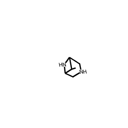 CC1C2CNCC1N2